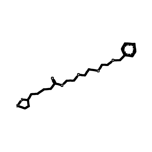 O=C(CCCCC1CCSS1)OCCOCCOCCOCc1ccccc1